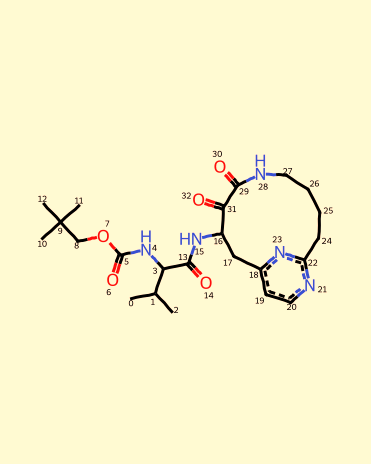 CC(C)C(NC(=O)OCC(C)(C)C)C(=O)NC1Cc2ccnc(n2)CCCCNC(=O)C1=O